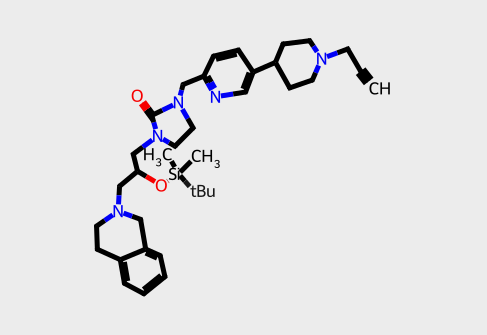 C#CCN1CCC(c2ccc(CN3CCN(CC(CN4CCc5ccccc5C4)O[Si](C)(C)C(C)(C)C)C3=O)nc2)CC1